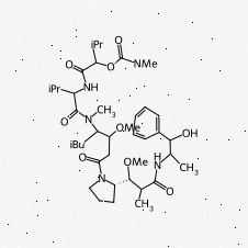 CCC(C)C(C(CC(=O)N1CCC[C@H]1C(OC)C(C)C(=O)NC(C)C(O)c1ccccc1)OC)N(C)C(=O)C(NC(=O)C(OC(=O)NC)C(C)C)C(C)C